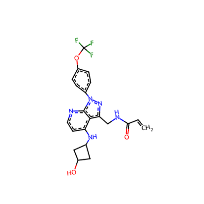 C=CC(=O)NCc1nn(-c2ccc(OC(F)(F)F)cc2)c2nccc(NC3CC(O)C3)c12